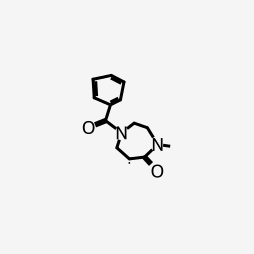 CN1CCN(C(=O)c2ccccc2)C[CH]C1=O